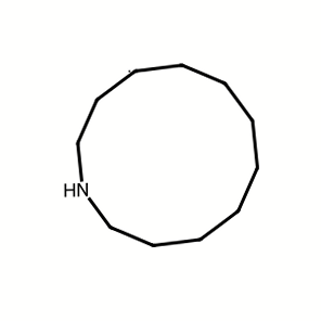 [CH]1CCCCCCCCNCC1